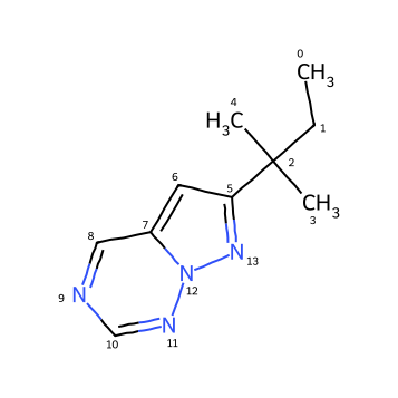 CCC(C)(C)c1cc2cncnn2n1